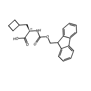 O=C(N[C@H](CC1CCC1)C(=O)O)OCC1c2ccccc2-c2ccccc21